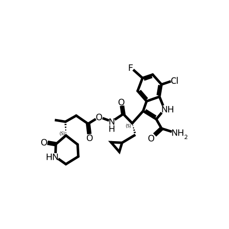 CC(CC(=O)ONC(=O)[C@@H](CC1CC1)c1c(C(N)=O)[nH]c2c(Cl)cc(F)cc12)[C@@H]1CCCNC1=O